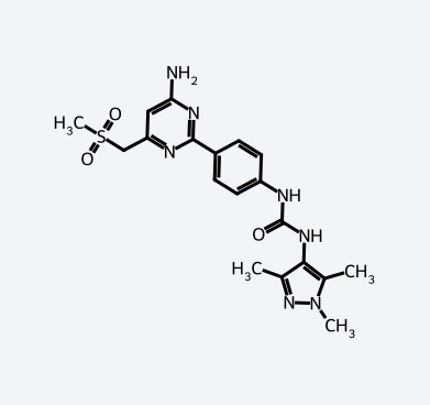 Cc1nn(C)c(C)c1NC(=O)Nc1ccc(-c2nc(N)cc(CS(C)(=O)=O)n2)cc1